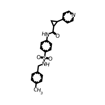 Cc1ccc(CNS(=O)(=O)c2ccc(NC(=O)C3CC3c3ccncc3)cc2)cc1